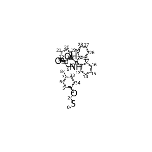 CSCOc1ccc(C[C@@H](NC(c2ccccc2)(c2ccccc2)c2ccccc2)C(=O)O)cc1